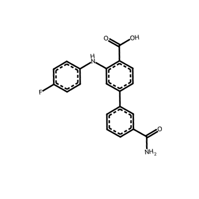 NC(=O)c1cccc(-c2ccc(C(=O)O)c(Nc3ccc(F)cc3)c2)c1